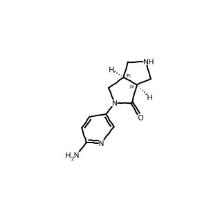 Nc1ccc(N2C[C@H]3CNC[C@H]3C2=O)cn1